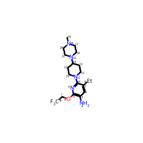 CCc1cc(N)c(OCC(F)(F)F)nc1N1CCC(N2CCN(C)CC2)CC1